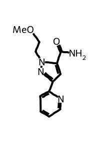 COCCn1nc(-c2ccccn2)cc1C(N)=O